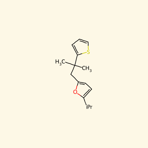 CC(C)c1ccc(CC(C)(C)c2cccs2)o1